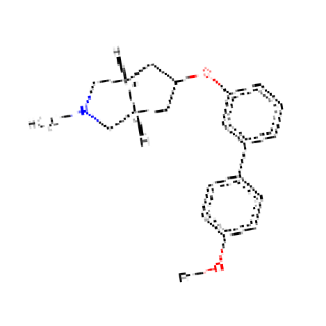 CCOc1ccc(-c2cccc(OC3C[C@@H]4CN(C(=O)O)C[C@@H]4C3)c2)cc1